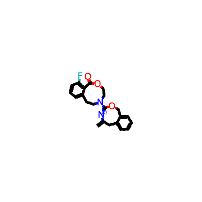 C=C1Cc2ccccc2CO/C(N2CCOC(=O)c3c(F)cccc3CC2)=N\1